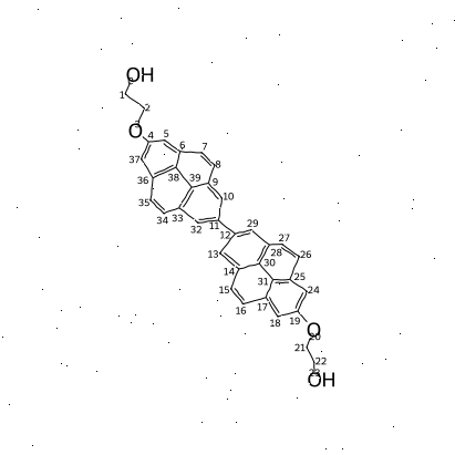 OCCOc1cc2ccc3cc(-c4cc5ccc6cc(OCCO)cc7ccc(c4)c5c67)cc4ccc(c1)c2c34